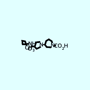 CC1(NC(=O)C2CCN([C@H]3CCCN(C(=O)O)CC3)CC2)CCC1